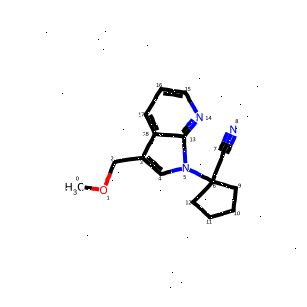 COCc1cn(C2(C#N)CCCC2)c2ncccc12